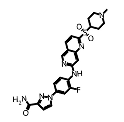 CN1CCC(S(=O)(=O)c2ccc3cnc(Nc4ccc(-n5ccc(C(N)=O)n5)cc4F)cc3n2)CC1